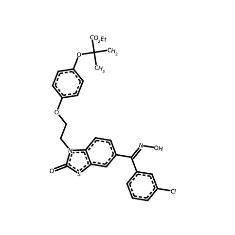 CCOC(=O)C(C)(C)Oc1ccc(OCCn2c(=O)sc3cc(C(=NO)c4cccc(Cl)c4)ccc32)cc1